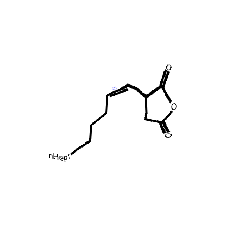 CCCCCCCCCC/C=C\C1CC(=O)OC1=O